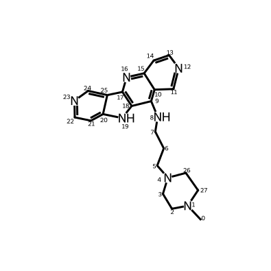 CN1CCN(CCCNc2c3cnccc3nc3c2[nH]c2ccncc23)CC1